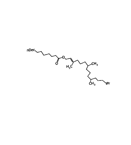 CCCCCCCCCCCCCCCCC(=O)OC/C=C(\C)CCCC(C)CCCC(C)CCCC(C)C